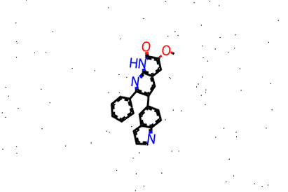 COc1cc2cc(-c3ccc4ncccc4c3)c(-c3ccccc3)nc2[nH]c1=O